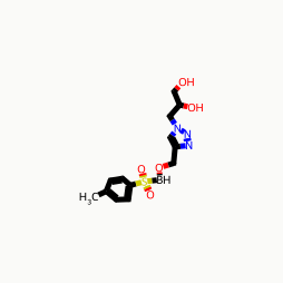 Cc1ccc(S(=O)(=O)BOCc2cn(CC(O)CO)nn2)cc1